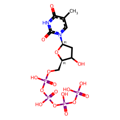 Cc1cn([C@H]2CC(O)[C@@H](COP(=O)(O)OP(=O)(O)OP(=O)(O)OP(=O)(O)O)O2)c(=O)[nH]c1=O